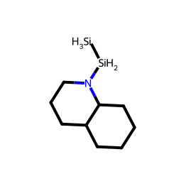 [SiH3][SiH2]N1CCCC2CCCCC21